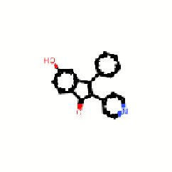 O=C1C(c2ccncc2)=C(c2ccccc2)c2cc(O)ccc21